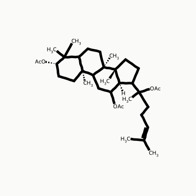 CC(=O)OC1CC2[C@@]3(C)CC[C@H](OC(C)=O)C(C)(C)C3CC[C@@]2(C)[C@]2(C)CCC(C(C)(CCC=C(C)C)OC(C)=O)[C@@H]12